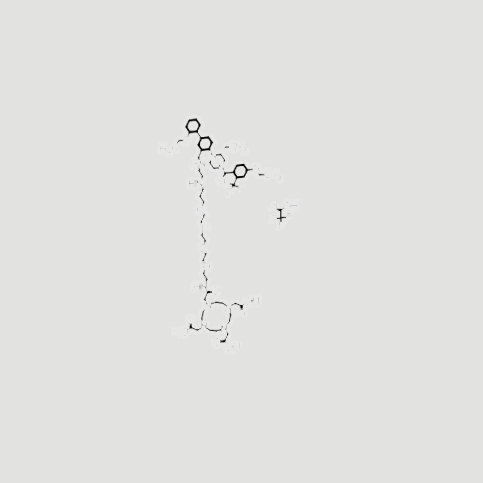 CCOc1ccc(C(=O)N2CCN(c3ccc(-c4ccccc4OCC)cc3CNCCNCCCOCCOCCOCCOCCNC(=O)CN3CCN(CC(=O)O)CCN(CC(=O)O)CCN(CC(=O)O)CC3)[C@H](CC)C2)c(C(F)(F)F)c1.O=C(O)C(F)(F)F